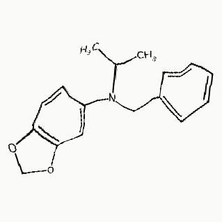 CC(C)N(Cc1ccccc1)c1ccc2c(c1)OCO2